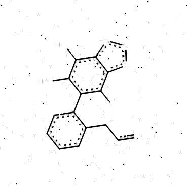 C=CCc1ccccc1-c1c(C)c(O)c2[nH]nnc2c1Cl